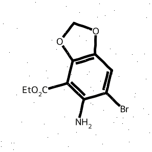 CCOC(=O)c1c(N)c(Br)cc2c1OCO2